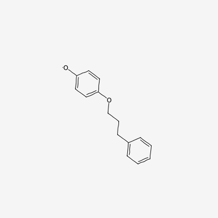 [O]c1ccc(OCCCc2ccccc2)cc1